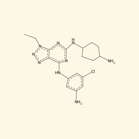 CCn1nnc2c(Nc3cc(N)cc(Cl)c3)nc(NC3CCC(N)CC3)nc21